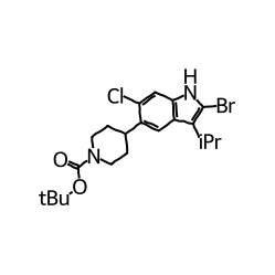 CC(C)c1c(Br)[nH]c2cc(Cl)c(C3CCN(C(=O)OC(C)(C)C)CC3)cc12